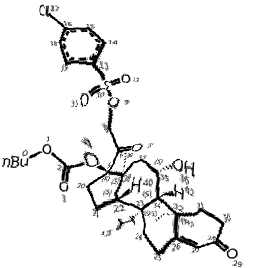 CCCCOC(=O)O[C@]1(C(=O)COS(=O)(=O)c2ccc(Cl)cc2)CC[C@H]2[C@@H]3CCC4=CC(=O)CC[C@]4(C)[C@H]3[C@@H](O)C[C@@]21C